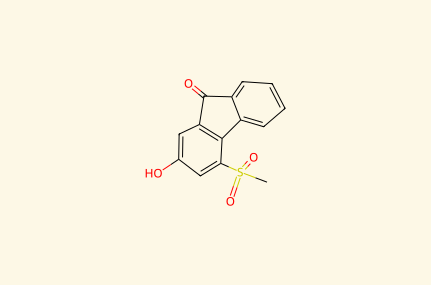 CS(=O)(=O)c1cc(O)cc2c1-c1ccccc1C2=O